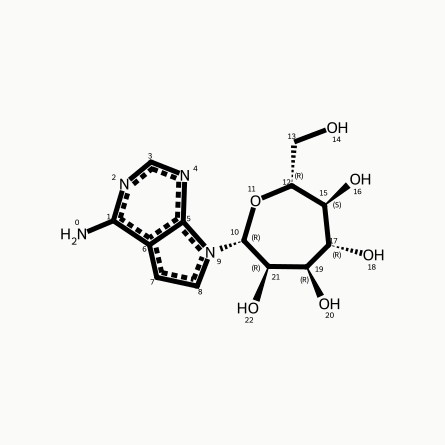 Nc1ncnc2c1ccn2[C@@H]1O[C@H](CO)[C@@H](O)[C@H](O)[C@@H](O)[C@H]1O